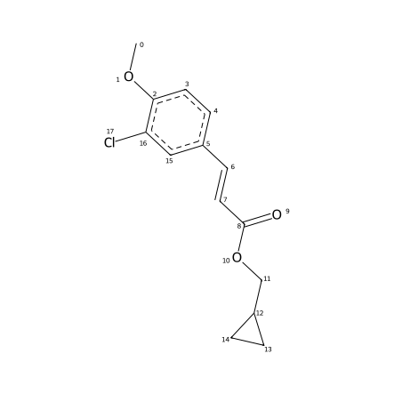 COc1ccc(/C=C/C(=O)OCC2CC2)cc1Cl